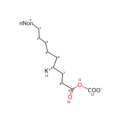 CCCCCCCCCCCCCCCCCC(=O)OC(=O)[O-].[K+]